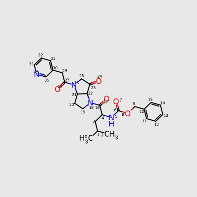 CC(C)CC(NC(=O)OCc1ccccc1)C(=O)N1CCC2C1C(=O)CN2C(=O)Cc1cccnc1